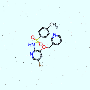 Cc1ccc(S(=O)(=O)Nc2ncc(Br)cc2OCc2cccnc2)cc1